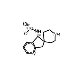 CC(C)(C)[S@@+]([O-])N[C@H]1c2cccnc2CC12CCNCC2